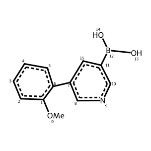 COc1ccccc1-c1cncc(B(O)O)c1